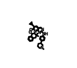 CN1CCCC(c2ccc(Nc3ncc4cc(C5CC5)c(=O)n(C5C(=O)c6ccccc6CC5(C)C)c4n3)cc2)C1